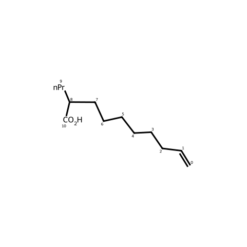 C=CCCCCCCC(CCC)C(=O)O